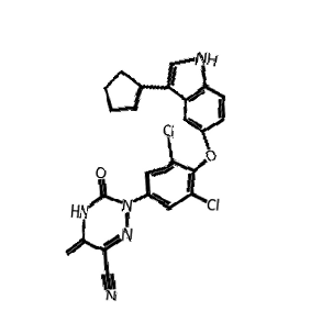 C=C1NC(=O)N(c2cc(Cl)c(Oc3ccc4[nH]cc(C5CCCC5)c4c3)c(Cl)c2)N=C1C#N